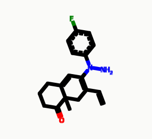 C=CC1=C(N(N)c2ccc(F)cc2)C=C2CCCC(=O)C2(C)C1